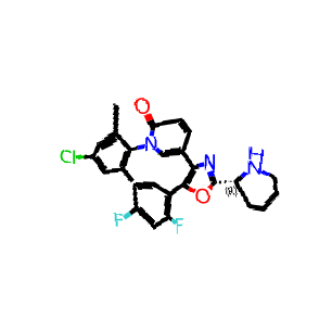 Cc1cc(Cl)cc(C)c1-n1cc(-c2nc([C@H]3CCCCN3)oc2-c2ccc(F)cc2F)ccc1=O